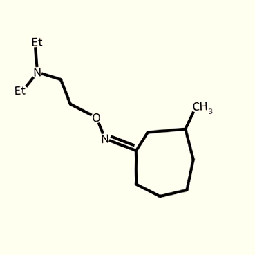 CCN(CC)CCON=C1CCCCC(C)C1